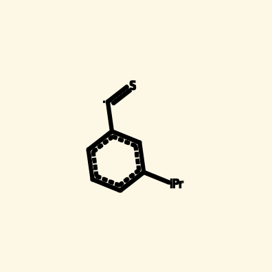 CC(C)c1cccc([C]=S)c1